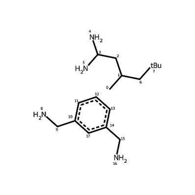 CC(CC(N)N)CC(C)(C)C.NCc1cccc(CN)c1